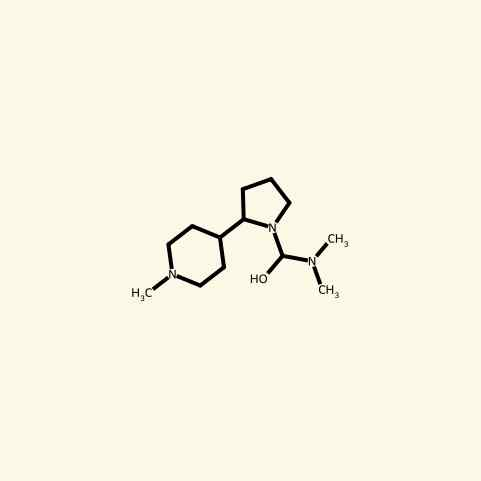 CN1CCC(C2CCCN2C(O)N(C)C)CC1